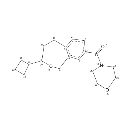 O=C(c1ccc2c(c1)CCN(C1CCC1)CC2)N1CCOCC1